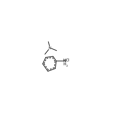 CN(C)C.Cl.Nc1ccccc1